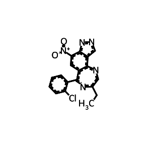 CCc1cnc2c(cc([N+](=O)[O-])c3nncc32)c(-c2ccccc2Cl)n1